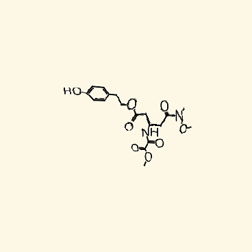 COC(=O)C(=O)NC(CC(=O)OCCc1ccc(O)cc1)CC(=O)N(C)OC